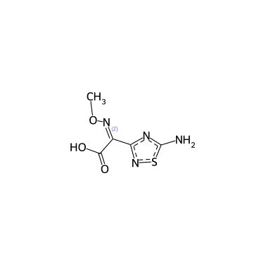 CO/N=C(\C(=O)O)c1nsc(N)n1